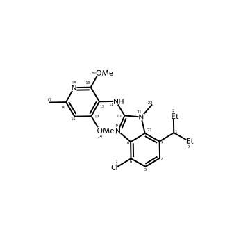 CCC(CC)c1ccc(Cl)c2nc(Nc3c(OC)cc(C)nc3OC)n(C)c12